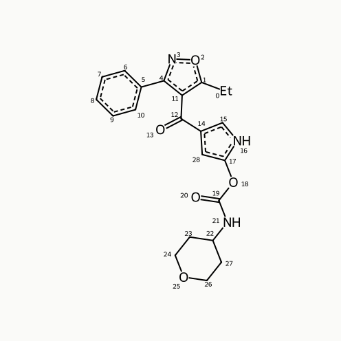 CCc1onc(-c2ccccc2)c1C(=O)c1c[nH]c(OC(=O)NC2CCOCC2)c1